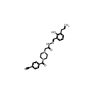 C=CCc1cccc(/C=N/NC(=O)CN2CCN(C(=O)c3ccc(C#N)cc3)CC2)c1O